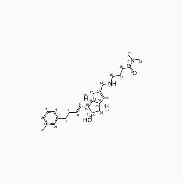 Cc1cccc(CC/C=C/[C@@H]2[C@H]3CC(CNCCCC(=O)N(C)C)=C[C@H]3C[C@H]2O)c1